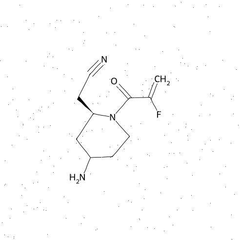 C=C(F)C(=O)N1CCC(N)C[C@H]1CC#N